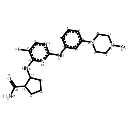 CC(=O)N1CCN(c2cccc(Nc3ncc(F)c(NC4CCCC4C(N)=O)n3)c2)CC1